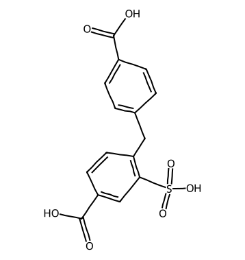 O=C(O)c1ccc(Cc2ccc(C(=O)O)cc2S(=O)(=O)O)cc1